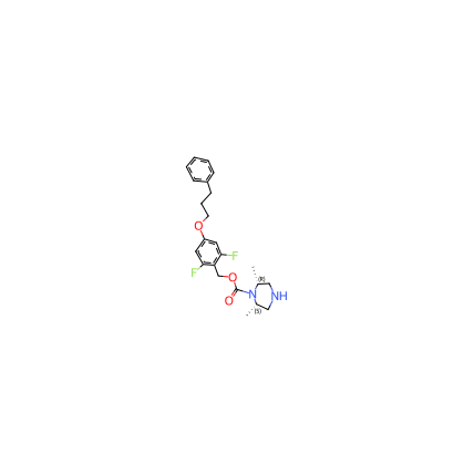 C[C@@H]1CNC[C@H](C)N1C(=O)OCc1c(F)cc(OCCCc2ccccc2)cc1F